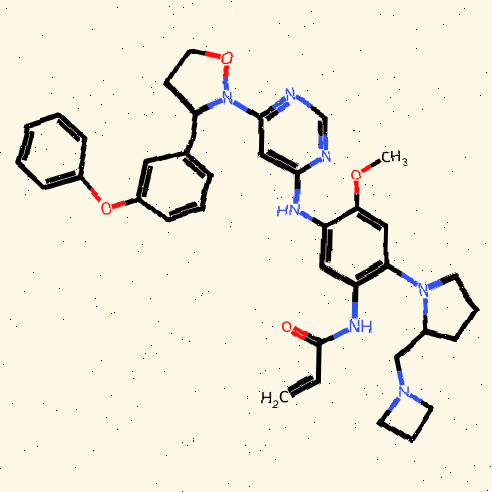 C=CC(=O)Nc1cc(Nc2cc(N3OCCC3c3cccc(Oc4ccccc4)c3)ncn2)c(OC)cc1N1CCCC1CN1CCC1